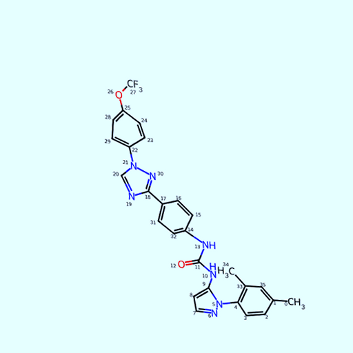 Cc1ccc(-n2nccc2NC(=O)Nc2ccc(-c3ncn(-c4ccc(OC(F)(F)F)cc4)n3)cc2)c(C)c1